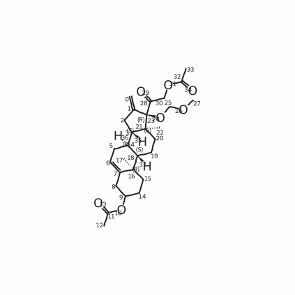 C=C1C[C@H]2[C@@H]3CC=C4CC(OC(C)=O)CC[C@]4(C)[C@H]3CC[C@]2(C)[C@@]1(OCOC)C(=O)COC(C)=O